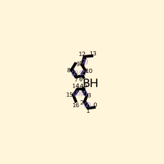 C\C=C/C=C(BC(/C=C\C)=C/C=C\C)\C=C/C